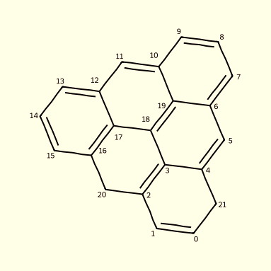 C1=CC2=c3c(cc4cccc5cc6cccc(c6c3c45)C2)C1